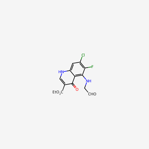 CCOC(=O)c1c[nH]c2cc(Cl)c(F)c(NCC=O)c2c1=O